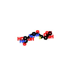 O=C(NCc1cc(-c2cccc([C@](O)(C(=O)O)c3ccccc3)c2)cs1)c1ccc(CNC[C@H](O)c2ccc(O)c3[nH]c(=O)ccc23)cc1